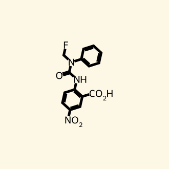 O=C(O)c1cc([N+](=O)[O-])ccc1NC(=O)N(CF)c1ccccc1